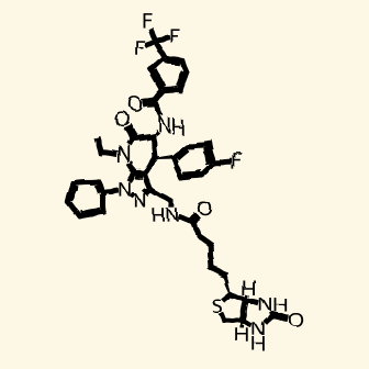 CCN1C(=O)[C@@H](NC(=O)c2cccc(C(F)(F)F)c2)[C@@H](c2ccc(F)cc2)c2c(CNC(=O)CCCC[C@@H]3SC[C@@H]4NC(=O)N[C@@H]43)nn(-c3ccccc3)c21